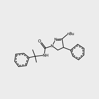 CCCCC1=NN(C(=O)NC(C)(C)c2ccccc2)CC1c1ccccc1